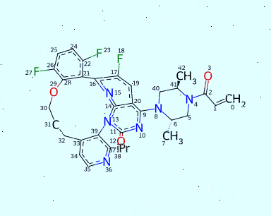 C=CC(=O)N1C[C@H](C)N(c2nc(=O)n3c4nc(c(F)cc24)-c2c(F)ccc(F)c2OCCCc2ccnc(C(C)C)c2-3)C[C@H]1C